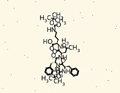 CC(C)C[C@@H](NC(=O)[C@@H](Cc1ccccc1)NC(=O)[C@@H](Cc1ccccc1)NC(=O)OC(C)(C)C)C(=O)N[C@H](CCCNC(=O)OC(C)(C)C)C(=O)O